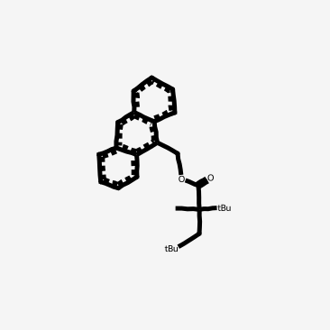 CC(C)(C)CC(C)(C(=O)OCc1c2ccccc2cc2ccccc12)C(C)(C)C